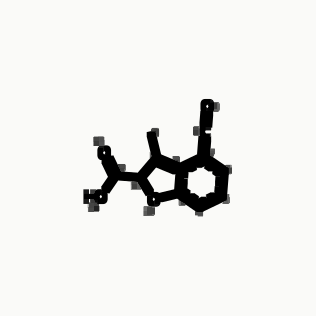 CC1=c2c(cccc2=C=O)OC1C(=O)O